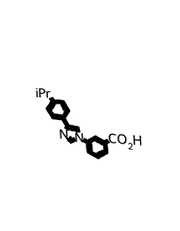 CC(C)c1ccc(-c2cn(-c3cccc(C(=O)O)c3)cn2)cc1